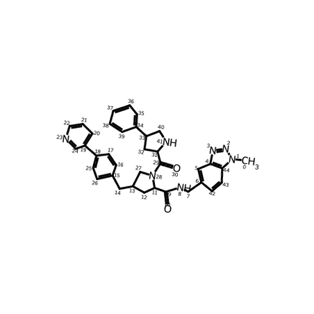 Cn1nnc2cc(CNC(=O)C3CC(Cc4ccc(-c5cccnc5)cc4)CN3C(=O)C3CC(c4ccccc4)CN3)ccc21